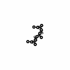 c1ccc(-c2ccc(N(c3ccccc3)c3ccc4c(c3)sc3ccc(N(c5ccccc5)c5ccc6c(c5)sc5ccc(N(c7ccccc7)c7ccc(-c8ccccc8)cc7)cc56)cc34)cc2)cc1